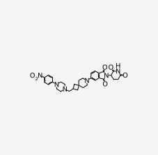 O=C1CCC(N2C(=O)c3ccc(N4CCC5(CC4)CC(CN4CCN(c6ccc([N+](=O)[O-])cc6)CC4)C5)cc3C2=O)C(=O)N1